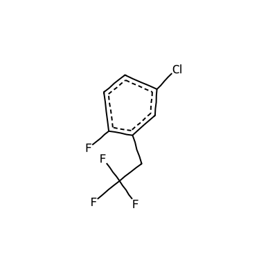 Fc1ccc(Cl)cc1CC(F)(F)F